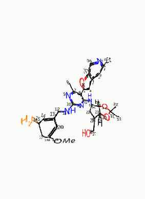 CCc1cc2cc(-c3c(C)nc(NCC4=CC(P)CC(OC)=C4)nc3N[C@@H]3C[C@H](CO)[C@H]4OC(C)(C)O[C@H]43)oc2cn1